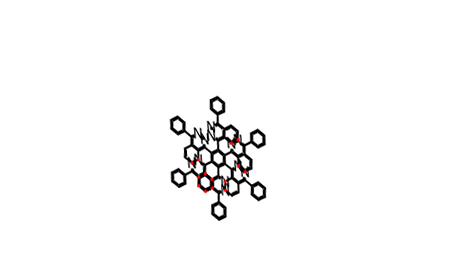 C1=Cc2c(-c3ccccc3)nnc(-c3c(-c4nnc(-c5ccccc5)c5ccccc45)c(-c4nnc(-c5ccccc5)c5ccccc45)c(-c4nnc(-c5ccccc5)c5c4CCC=C5)c(-c4nnc(-c5ccccc5)c5ccccc45)c3-c3nnc(-c4ccccc4)c4ccccc34)c2CC1